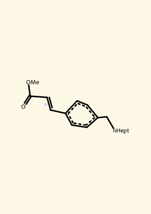 CCCCCCCCc1ccc(/C=C/C(=O)OC)cc1